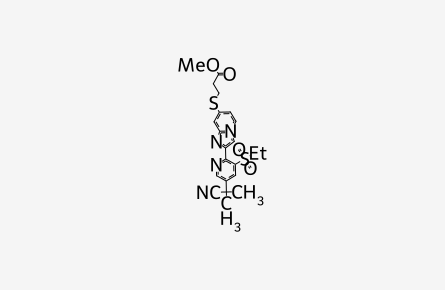 CCS(=O)(=O)c1cc(C(C)(C)C#N)cnc1-c1cn2ccc(SCCC(=O)OC)cc2n1